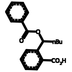 CCCCC(OC(=O)c1ccccc1)c1ccccc1C(=O)O